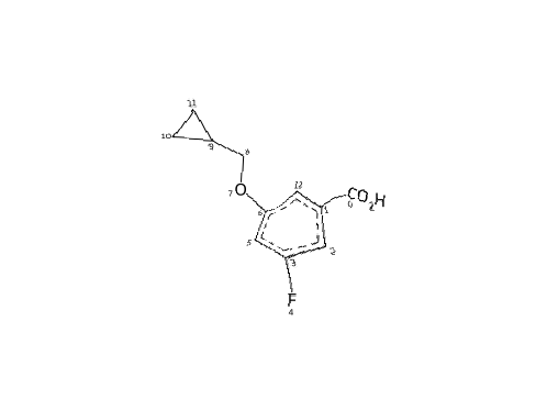 O=C(O)c1cc(F)cc(OCC2CC2)c1